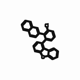 Clc1cccc(-c2cccc3oc4ccccc4c23)c1-c1ccc2ccccc2c1